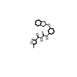 Cc1cc(C(=O)NC(=S)Nc2cccc(OC3Cc4ccccc4C3)c2)no1